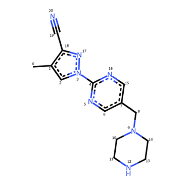 Cc1cn(-c2ncc(CN3CCNCC3)cn2)nc1C#N